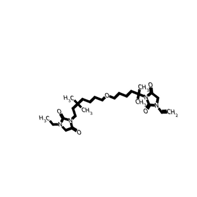 C=CN1CC(=O)N(C(C)(C)CCCCOCCCCC(C)(C)CCN2C(=O)CN(CC)C2=O)C1=O